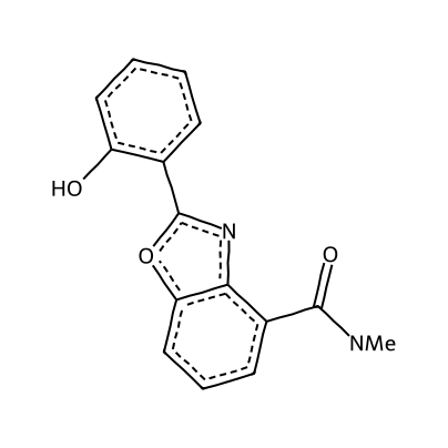 CNC(=O)c1cccc2oc(-c3ccccc3O)nc12